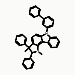 CN1c2c(ccc3c2c2ccccc2n3-c2cccc(-c3ccccc3)c2)C(C)(c2ccccc2)C1c1ccccc1